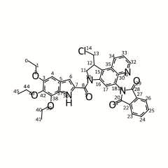 CCOc1cc2cc(C(=O)N3CC(CCl)c4c3cc(N3C(=O)c5ccccc5C3=O)c3ncccc43)[nH]c2c(OCC)c1OCC